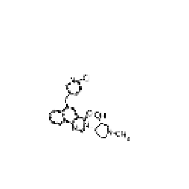 CN1CC[C@H](n2cnc3c(cc(Cc4ccc(Cl)nc4)c4ccccc43)c2=O)[C@@H](O)C1